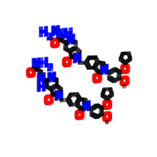 COc1ccc(N2Cc3ccc(CN4Cc5cnc(C(=O)NN)cc5C4=O)cc3C2=O)cc1OC1CCCC1.COc1ccc(N2Cc3ccc(CN4Cc5cnc(NCC(N)=O)cc5C4=O)cc3C2=O)cc1OC1CCCC1